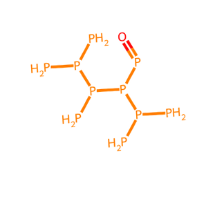 O=PP(P(P)P)P(P)P(P)P